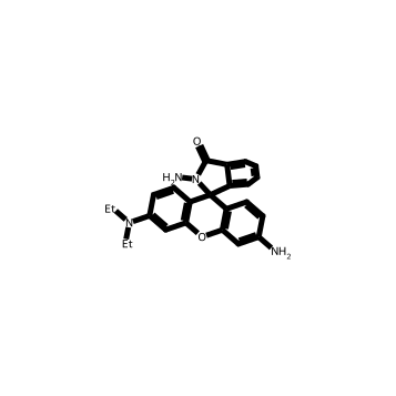 CCN(CC)c1ccc2c(c1)Oc1cc(N)ccc1C21c2ccccc2C(=O)N1N